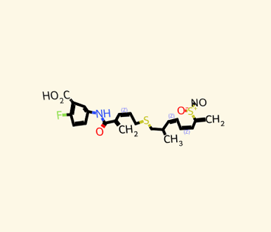 C=C(/C=C\CSCC(C)/C=C\C=C/C(=C)[S+]([O-])N=O)C(=O)Nc1ccc(F)c(C(=O)O)c1